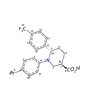 CC(C)c1ccc(N2C[C@H](C(=O)O)CC[C@H]2c2ccc(C(F)(F)F)cc2)cc1